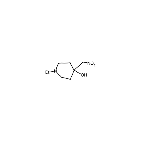 CCN1CCC(O)(C[N+](=O)[O-])CC1